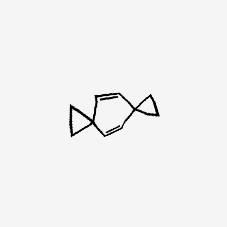 C1=CC2(C=CC13CC3)CC2